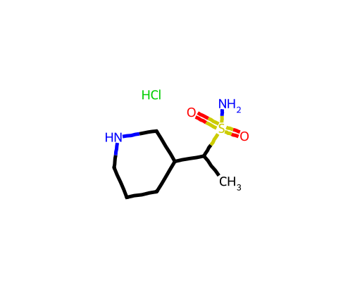 CC(C1CCCNC1)S(N)(=O)=O.Cl